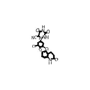 N#CC1C(=O)NC(=O)NN1c1cc(Cl)c(Oc2ccc3c(c2)CCC(=O)N3)c(Cl)c1